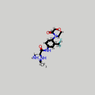 NC[C@@H](NCC(F)(F)F)C(=O)Nc1ccc(N2CCOCC2=O)c(C(F)F)c1